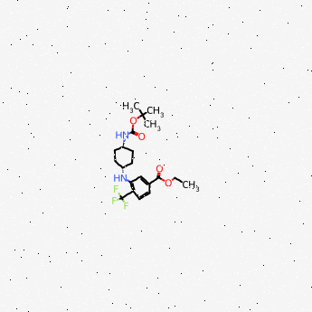 CCOC(=O)c1ccc(C(F)(F)F)c(N[C@H]2CC[C@H](NC(=O)OC(C)(C)C)CC2)c1